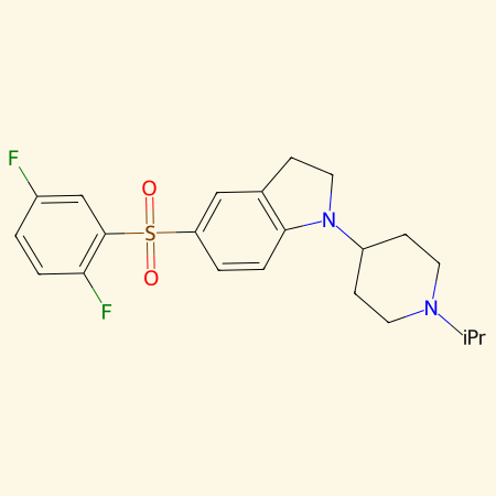 CC(C)N1CCC(N2CCc3cc(S(=O)(=O)c4cc(F)ccc4F)ccc32)CC1